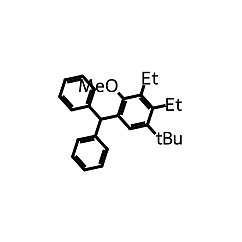 CCc1c(C(C)(C)C)cc(C(c2ccccc2)c2ccccc2)c(OC)c1CC